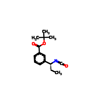 CC[C@@H](N=C=O)c1cccc(C(=O)OC(C)(C)C)c1